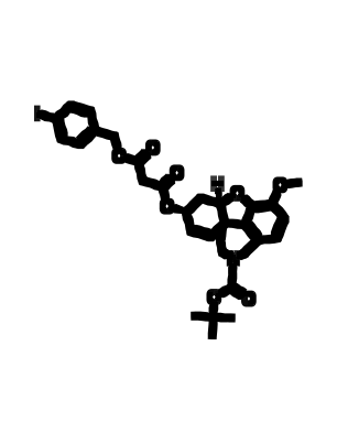 COc1ccc2c3c1O[C@@H]1C[C@H](OC(=O)CC(=O)OCc4ccc(I)cc4)C=C[C@@]31CCN(C(=O)OC(C)(C)C)C2